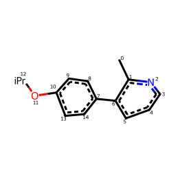 Cc1ncccc1-c1ccc(OC(C)C)cc1